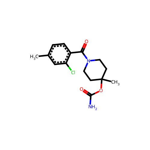 Cc1ccc(C(=O)N2CCC(C)(OC(N)=O)CC2)c(Cl)c1